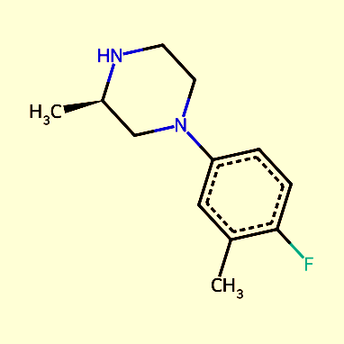 Cc1cc(N2CCN[C@H](C)C2)ccc1F